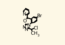 CC(Cl)c1nncn1-c1ccc(Br)cc1C(=O)c1ccccn1